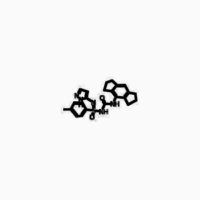 Cc1ccc(S(=O)(=Nc2ccn[nH]2)NC(=O)Nc2c3c(cc4c2CCC4)CCC3)cc1